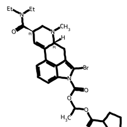 CCN(CC)C(=O)[C@@H]1C=C2c3cccc4c3c(c(Br)n4C(=O)OC(C)OC(=O)C3CCCO3)C[C@H]2N(C)C1